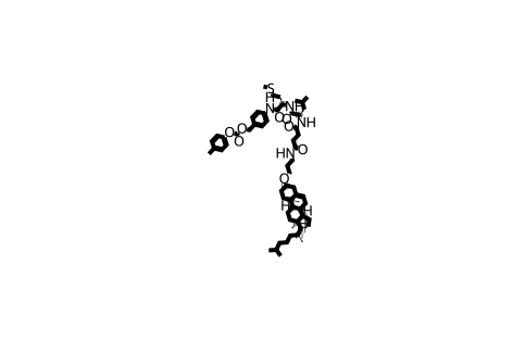 CSCC[C@H](NC(=O)[C@H](CC(C)C)NC(=O)CCC(=O)NCCCO[C@H]1CC[C@@]2(C)C(=CC[C@H]3[C@@H]4CC[C@H]([C@H](C)CCCC(C)C)[C@@]4(C)CC[C@@H]32)C1)C(=O)Nc1ccc(COC(=O)Oc2ccc(C)cc2)cc1